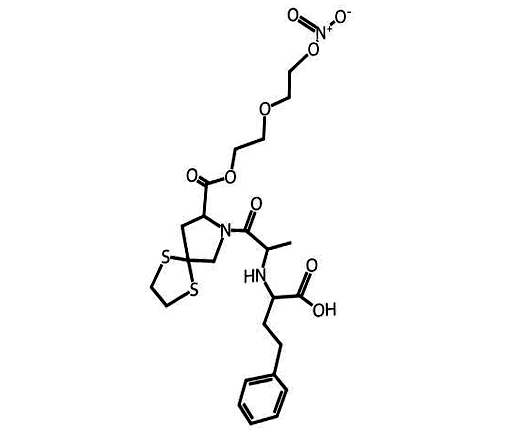 CC(NC(CCc1ccccc1)C(=O)O)C(=O)N1CC2(CC1C(=O)OCCOCCO[N+](=O)[O-])SCCS2